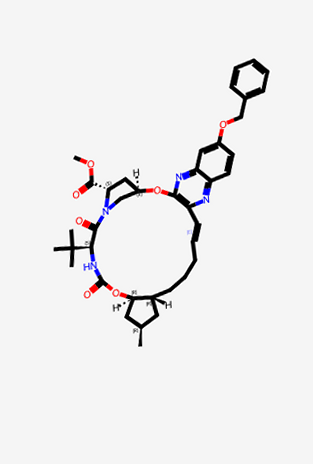 COC(=O)[C@@H]1C[C@@H]2CN1C(=O)[C@H](C(C)(C)C)NC(=O)O[C@@H]1C[C@H](C)C[C@H]1CCC/C=C/c1nc3ccc(OCc4ccccc4)cc3nc1O2